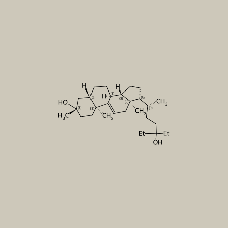 CCC(O)(CC)CC[C@@H](C)[C@H]1CC[C@H]2[C@@H]3CC[C@H]4C[C@@](C)(O)CC[C@]4(C)C3=CC[C@]12C